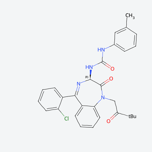 Cc1cccc(NC(=O)N[C@@H]2N=C(c3ccccc3Cl)c3ccccc3N(CC(=O)C(C)(C)C)C2=O)c1